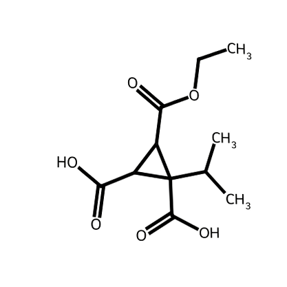 CCOC(=O)C1C(C(=O)O)C1(C(=O)O)C(C)C